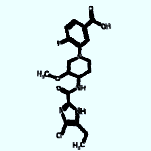 CCc1[nH]c(C(=O)NC2CCN(c3cc(C(=O)O)ccc3F)CC2OC)nc1Cl